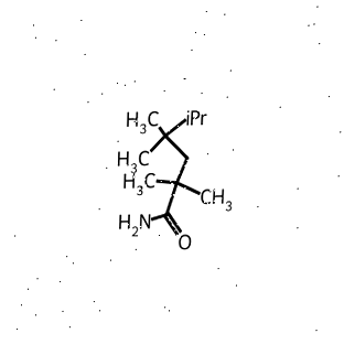 CC(C)C(C)(C)CC(C)(C)C(N)=O